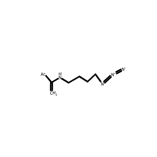 C=C(NCCCCN=[N+]=[N-])C(C)=O